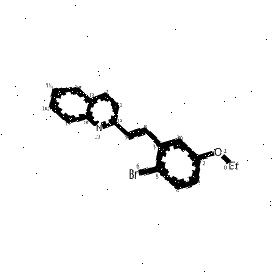 CCOc1ccc(Br)c(/C=C/c2ccc3ccccc3n2)c1